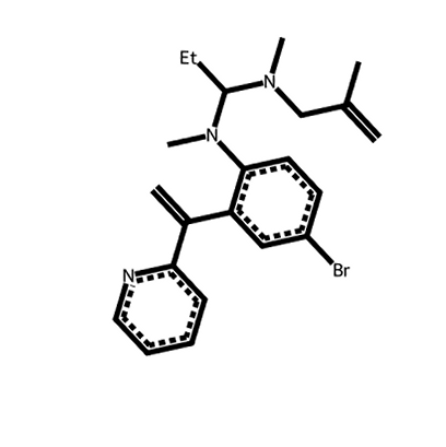 C=C(C)CN(C)C(CC)N(C)c1ccc(Br)cc1C(=C)c1ccccn1